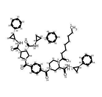 CCCCCCCC(=O)N1CCN(C(=O)c2ccc(C(=O)N3C[C@@H](C(=O)N[C@H]4C[C@@H]4c4ccccc4)[C@H](C(=O)N[C@H]4C[C@@H]4c4ccccc4)C3)cc2)CC1C(=O)N[C@H]1C[C@@H]1c1ccccc1